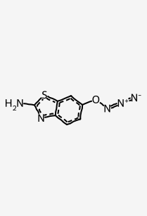 [N-]=[N+]=NOc1ccc2nc(N)sc2c1